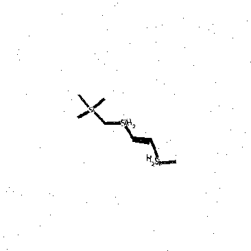 C[SiH2]C=C[SiH2]C[Si](C)(C)C